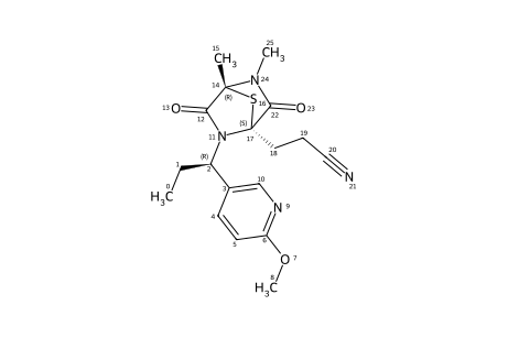 CC[C@H](c1ccc(OC)nc1)N1C(=O)[C@@]2(C)S[C@@]1(CCC#N)C(=O)N2C